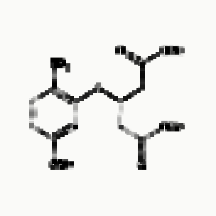 COC(=O)CC(CC(=O)OC)Sc1cc(OC)ccc1[N+](=O)[O-]